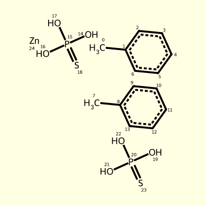 Cc1ccccc1.Cc1ccccc1.OP(O)(O)=S.OP(O)(O)=S.[Zn]